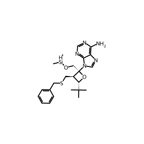 C[SiH](C)OC[C@]1(n2cnc3c(N)ncnc32)O[C@H](C(C)(C)C)[C@H]1CSCc1ccccc1